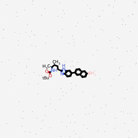 Bc1ccc2cc(-c3ccc4nc(CC[C@@H](C)[C@@H](C)NC(=O)OC(C)(C)C)[nH]c4c3)ccc2c1